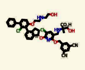 CC(CO)(NCc1cc(Cl)c(O[C@H]2CCc3c(-c4c(OCCNCCO)ccc(-c5ccccc5)c4Cl)cccc32)nc1OCc1cc(C#N)cc(C#N)c1)C(=O)O